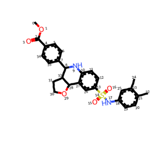 COC(=O)c1ccc(C2Nc3ccc(S(=O)(=O)Nc4ccc(C)c(C)c4)cc3C3OCCC23)cc1